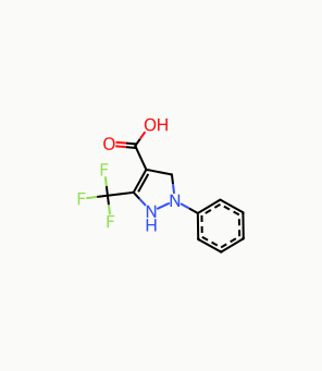 O=C(O)C1=C(C(F)(F)F)NN(c2ccccc2)C1